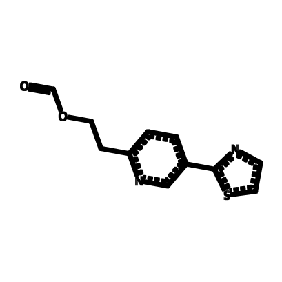 O=COCCc1ccc(-c2nccs2)cn1